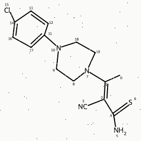 C/C(=C(/C#N)C(N)=S)N1CCN(c2ccc(Cl)cc2)CC1